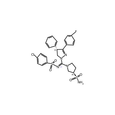 NS(=O)(=O)[C@@H]1CCN(/C(=N/S(=O)(=O)c2ccc(Cl)cc2)N2C[C@H](c3ccccc3)C(c3ccc(F)cc3)=N2)C1